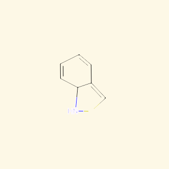 [C]1=C2C=CC=CC2NS1